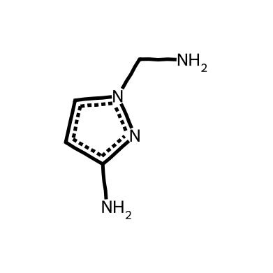 NCn1ccc(N)n1